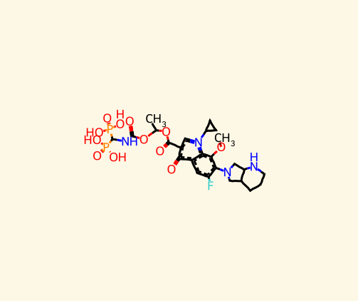 COc1c(N2CC3CCCNC3C2)c(F)cc2c(=O)c(C(=O)OC(C)OC(=O)NC(P(=O)(O)O)P(=O)(O)O)cn(C3CC3)c12